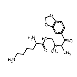 CC(C(=O)c1ccc2c(c1)OCO2)N(C)CNC(=O)C(N)CCCCN